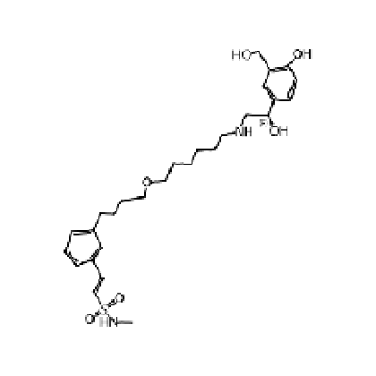 CNS(=O)(=O)C=Cc1cccc(CCCCOCCCCCCNC[C@H](O)c2ccc(O)c(CO)c2)c1